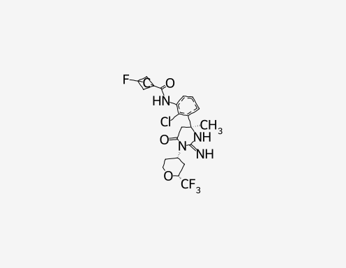 C[C@@]1(c2cccc(NC(=O)C34CC(F)(C3)C4)c2Cl)CC(=O)N([C@H]2CCO[C@@H](C(F)(F)F)C2)C(=N)N1